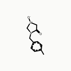 Cc1ccc(CN2C[S+]([O-])CC2=O)cc1